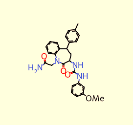 COc1cccc(NC(=O)NC2CC(c3ccc(C)cc3)c3ccccc3N(CC(N)=O)C2=O)c1